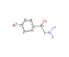 CN(C)CC(=O)c1ccc(Br)cc1